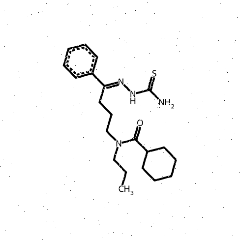 CCCN(CCCC(=NNC(N)=S)c1ccccc1)C(=O)C1CCCCC1